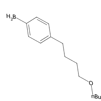 Bc1ccc(CCCCOCCCC)cc1